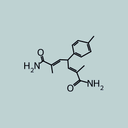 CC(=CC(C=C(C)C(N)=O)c1ccc(C)cc1)C(N)=O